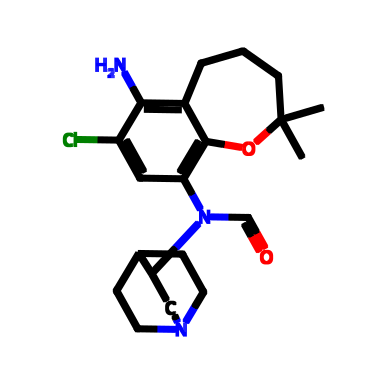 CC1(C)CCCc2c(N)c(Cl)cc(N(C=O)C3CN4CCC3CC4)c2O1